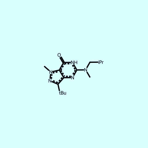 CC(C)CN(C)c1nc2c(C(C)(C)C)nn(C)c2c(=O)[nH]1